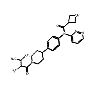 CC(C)C(C)C(=O)N1CCC(c2ccc(N(C(=O)C3CNC3)c3cccnn3)cc2)CC1